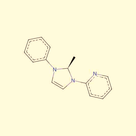 C[C@@H]1N(c2ccccc2)C=CN1c1ccccn1